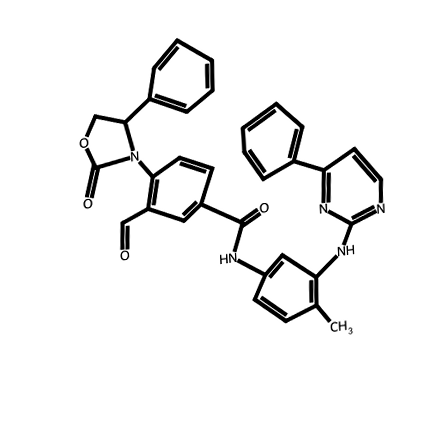 Cc1ccc(NC(=O)c2ccc(N3C(=O)OCC3c3ccccc3)c(C=O)c2)cc1Nc1nccc(-c2ccccc2)n1